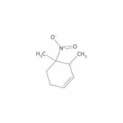 CC1C=CCCC1(C)[N+](=O)[O-]